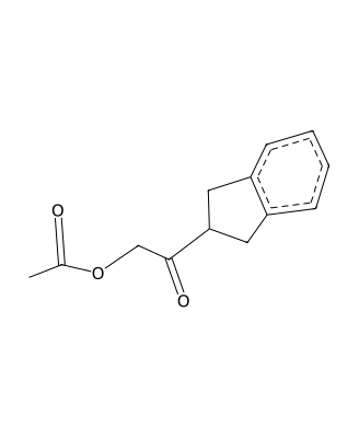 CC(=O)OCC(=O)C1Cc2ccccc2C1